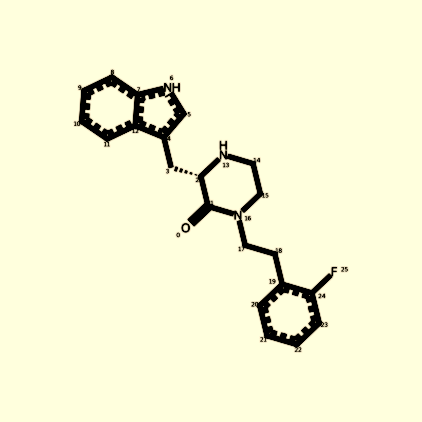 O=C1[C@H](Cc2c[nH]c3ccccc23)NCCN1CCc1ccccc1F